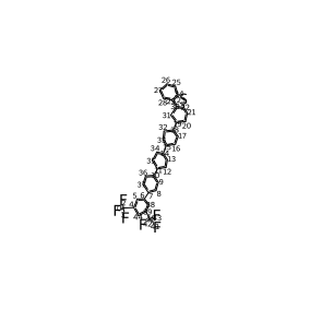 FC(F)(F)c1cc(-c2ccc(-c3ccc(-c4ccc(-c5ccc6sc7ccccc7c6c5)cc4)cc3)cc2)cc(C(F)(F)F)c1